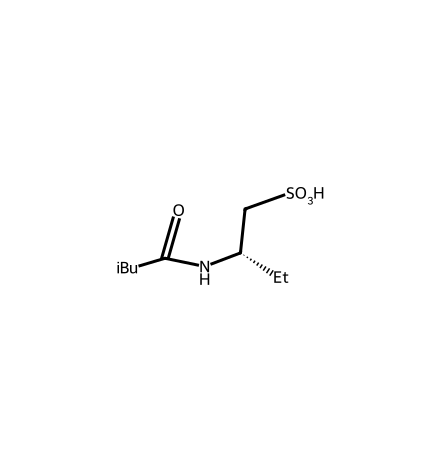 CCC(C)C(=O)N[C@@H](CC)CS(=O)(=O)O